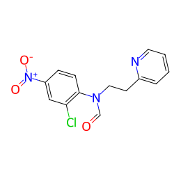 O=CN(CCc1ccccn1)c1ccc([N+](=O)[O-])cc1Cl